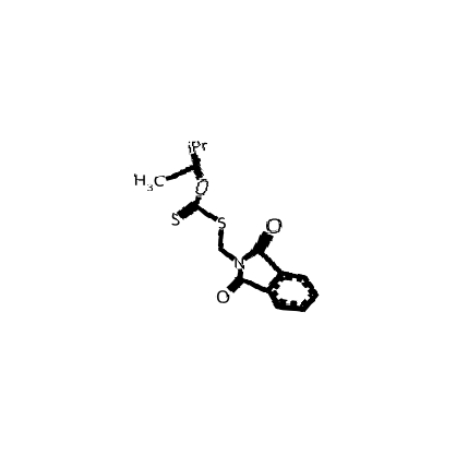 CC(C)C(C)OC(=S)SCN1C(=O)c2ccccc2C1=O